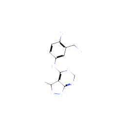 NCc1cc(NC2=C3C(=NCN2)NNC3Br)ccc1N